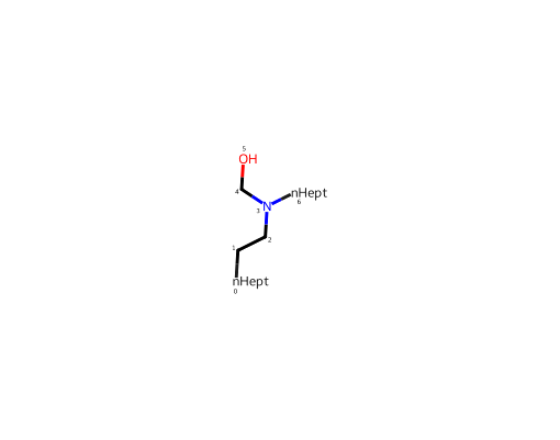 CCCCCCCCCN(CO)CCCCCCC